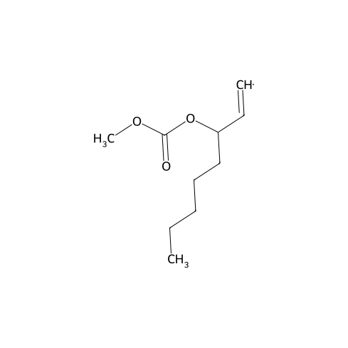 [CH]=CC(CCCCC)OC(=O)OC